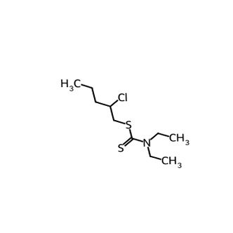 CCCC(Cl)CSC(=S)N(CC)CC